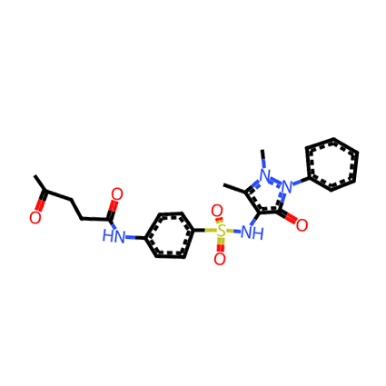 CC(=O)CCC(=O)Nc1ccc(S(=O)(=O)Nc2c(C)n(C)n(-c3ccccc3)c2=O)cc1